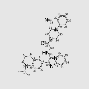 CC(C)N1CCCc2cc(-c3nc4ccccn4c3NCC(=O)N3CCN(c4ccccc4C#N)CC3)ccc21